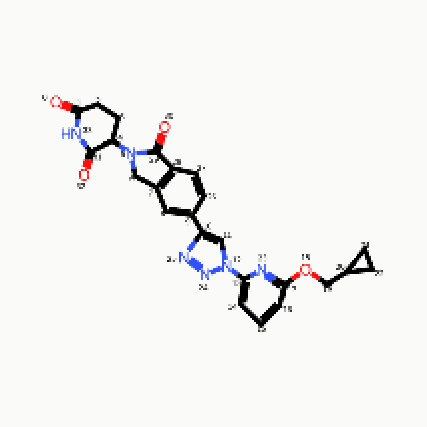 O=C1CCC(N2Cc3cc(-c4cn(-c5cccc(OCC6CC6)n5)nn4)ccc3C2=O)C(=O)N1